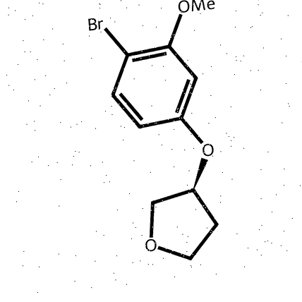 COc1cc(O[C@H]2CCOC2)ccc1Br